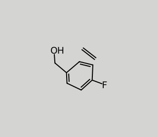 C=C.OCc1ccc(F)cc1